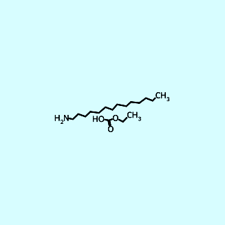 CCCCCCCCCCCCCCN.CCOC(=O)O